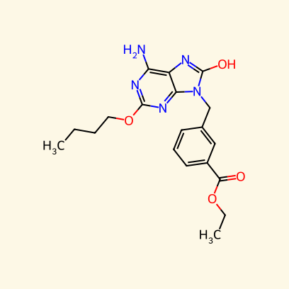 CCCCOc1nc(N)c2nc(O)n(Cc3cccc(C(=O)OCC)c3)c2n1